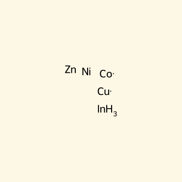 [Co].[Cu].[InH3].[Ni].[Zn]